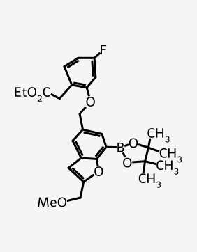 CCOC(=O)Cc1ccc(F)cc1OCc1cc(B2OC(C)(C)C(C)(C)O2)c2oc(COC)cc2c1